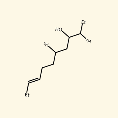 [2H]C(CCC=CCC)CC(O)C([2H])CC